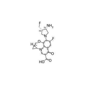 COc1c(N2C[C@H](CF)[C@H](N)C2)c(F)cc2c(=O)c(C(=O)O)cn(C3CC3)c12